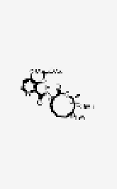 CCC[C@H]1CCCC[C@H](NC(=O)c2nccc(OC)c2OCOC(C)=O)C(=O)O[C@@H](C)[C@@H]1OCC(C)C